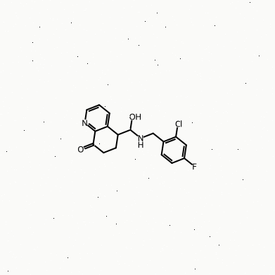 O=C1CCC(C(O)NCc2ccc(F)cc2Cl)c2cccnc21